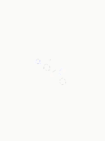 COc1cc(C2=CC3=NOC(C(=O)O)(c4cc(F)cc(F)c4)N3CCO2)ccc1-n1cnc(C)c1